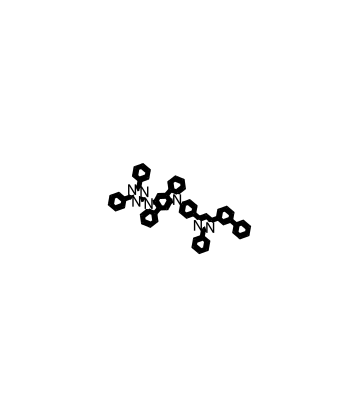 c1ccc(-c2cccc(-c3cc(-c4ccc(-n5c6ccccc6c6cc7c(cc65)c5ccccc5n7-c5nc(-c6ccccc6)nc(-c6ccccc6)n5)cc4)nc(-c4ccccc4)n3)c2)cc1